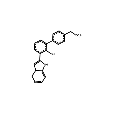 O=C(O)Cc1ccc(-c2cccc(C3=CC4CN=CC=C4N3)c2O)cc1